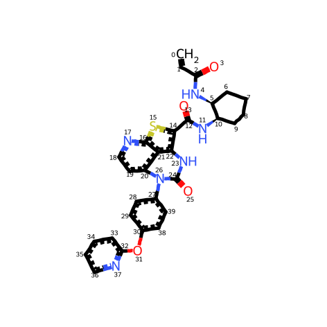 C=CC(=O)N[C@H]1CCCC[C@H]1NC(=O)c1sc2nccc3c2c1NC(=O)N3c1ccc(Oc2ccccn2)cc1